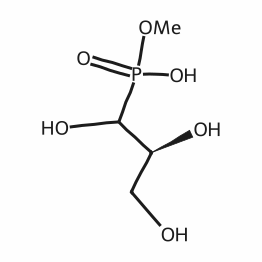 COP(=O)(O)C(O)[C@@H](O)CO